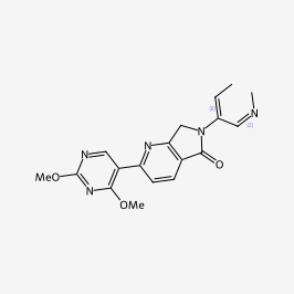 C/C=C(\C=N/C)N1Cc2nc(-c3cnc(OC)nc3OC)ccc2C1=O